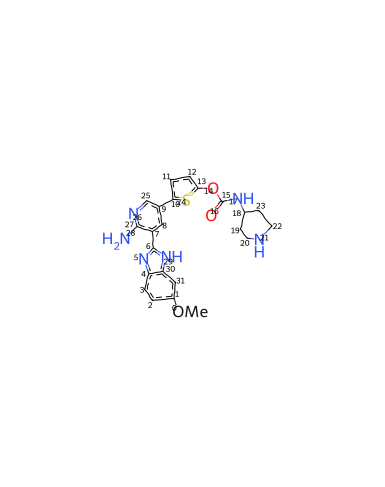 COc1ccc2nc(-c3cc(-c4ccc(OC(=O)NC5CCNCC5)s4)cnc3N)[nH]c2c1